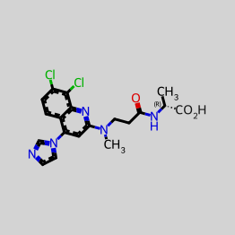 C[C@@H](NC(=O)CCN(C)c1cc(-n2ccnc2)c2ccc(Cl)c(Cl)c2n1)C(=O)O